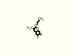 CCCCOC(=O)C(C)=Cc1ccc(F)c(F)c1